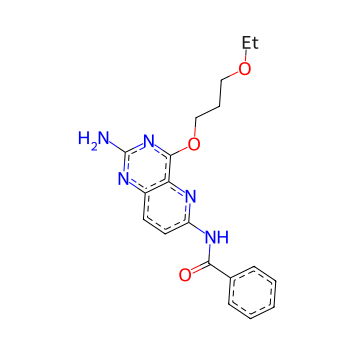 CCOCCCOc1nc(N)nc2ccc(NC(=O)c3ccccc3)nc12